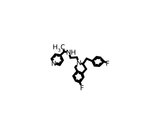 CC(NCCN1Cc2ccc(F)cc2CC1Cc1ccc(F)cc1)c1ccncc1